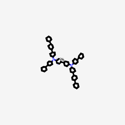 C=C(/C=C\C(=C/C)N(c1ccc(-c2ccccc2)cc1)c1ccc(-c2ccc(-c3ccccc3)cc2)cc1)c1ccc(N(c2ccc(-c3ccccc3)cc2)c2ccc(-c3ccc(-c4ccccc4)cc3)cc2)cc1